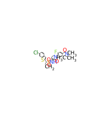 C=CC(c1cc2ccc(Cl)cc2s1)S(=O)(=O)N[C@H]1CCN(c2ccc(C(=O)N(C)C(C)C)cc2F)C1=O